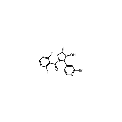 O=C1CN(C(=O)c2c(F)cccc2F)C(c2ccnc(Br)c2)N1O